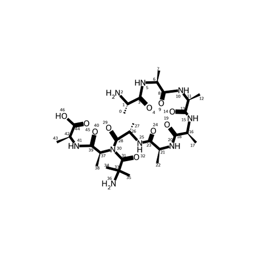 C[C@H](N)C(=O)N[C@@H](C)C(=O)N[C@@H](C)C(=O)N[C@@H](C)C(=O)N[C@@H](C)C(=O)N[C@@H](C)C(=O)N(C(=O)C(C)(C)N)[C@@H](C)C(=O)N[C@@H](C)C(=O)O